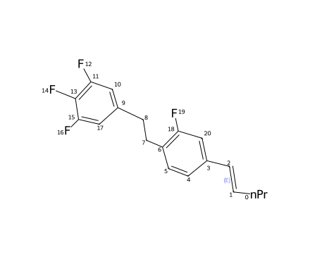 CCC/C=C/c1ccc(CCc2cc(F)c(F)c(F)c2)c(F)c1